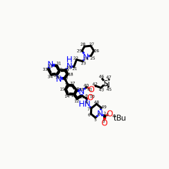 CC(C)(C)OC(=O)N1CCC(NC(=O)c2cc3ccc(-c4cc(NCCCN5CCCCC5)c5cnccc5n4)cc3n2COCC[Si](C)(C)C)CC1